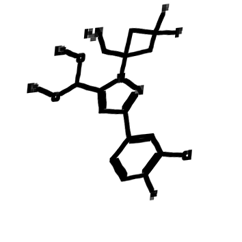 CCOC(OCC)c1cc(-c2ccc(F)c(Cl)c2)nn1C1(CN)CC(F)(F)C1